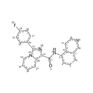 O=C(Nc1cccc2cnccc12)c1nc(-c2ccc(F)cc2)n2ccccc12